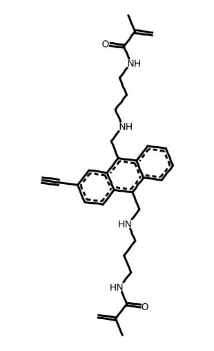 C#Cc1ccc2c(CNCCCNC(=O)C(=C)C)c3ccccc3c(CNCCCNC(=O)C(=C)C)c2c1